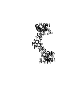 O=C(Cc1cc(F)c2c(F)cc(CC(=O)Oc3ccc4c5c3O[C@H]3C(=O)CC[C@@]6(O)[C@@H](C4)N(CC4CC4)CC[C@]536)cc2c1)Oc1ccc2c3c1O[C@H]1C(=O)CC[C@@]4(O)[C@@H](C2)N(CC2CC2)CC[C@]314